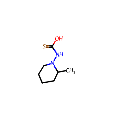 CC1CCCCN1NC(O)=S